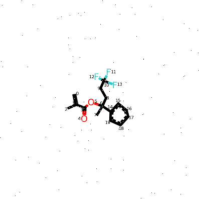 C=C(C)C(=O)OC(C)(CCC(F)(F)F)c1ccccc1